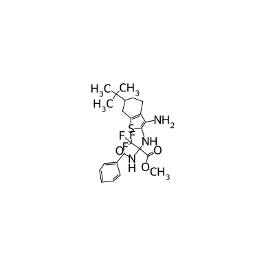 COC(=O)C(NC(=O)c1ccccc1)(Nc1sc2c(c1N)CCC(C(C)(C)C)C2)C(F)(F)F